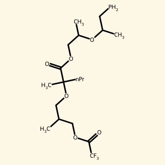 CCCC(C)(OCC(C)COC(=O)C(F)(F)F)C(=O)OCC(C)OC(C)CP